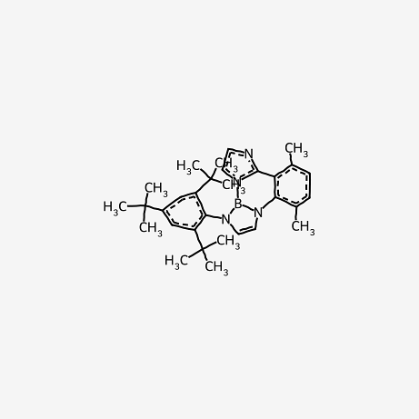 Cc1ccc(C)c2c1-c1nccn1B1N(c3c(C(C)(C)C)cc(C(C)(C)C)cc3C(C)(C)C)C=CN12